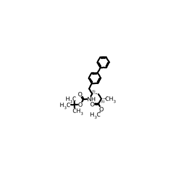 COC(=O)[C@@H](C)C[C@@H](Cc1ccc(-c2ccccc2)cc1)NC(=O)OC(C)(C)C